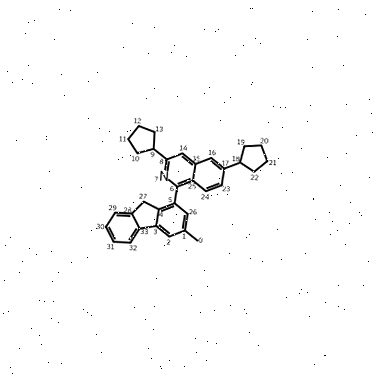 Cc1cc2c(c(-c3nc(C4CCCC4)cc4cc(C5CCCC5)ccc34)c1)Cc1ccccc1-2